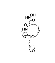 CC(C)C1NC(=O)C(CC(=O)NO)CCCCCCCCN(CCCN2CCOCC2)C1=O